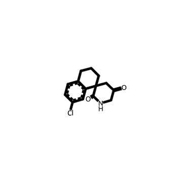 O=C1CNC(=O)C2(CCCc3ccc(Cl)cc32)C1